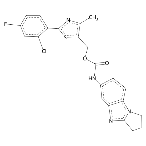 Cc1nc(-c2ccc(F)cc2Cl)sc1COC(=O)Nc1ccc2c(c1)nc1n2CCC1